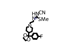 CS/C(=N\CCN1CCC(C2(c3ccc(F)cc3)OCCO2)CC1)NC#N